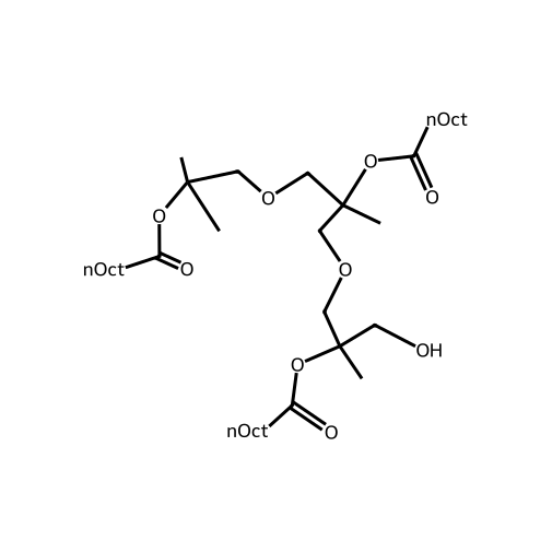 CCCCCCCCC(=O)OC(C)(C)COCC(C)(COCC(C)(CO)OC(=O)CCCCCCCC)OC(=O)CCCCCCCC